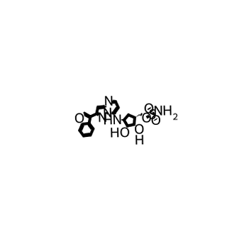 NS(=O)(=O)OC[C@H]1C[C@@H](Nc2ccnc3cc(-c4coc5ccccc45)nn23)[C@H](O)[C@@H]1O